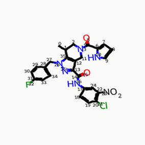 CC1CN(C(=O)c2ccc[nH]2)Cc2c(C(=O)Nc3ccc(Cl)c([N+](=O)[O-])c3)nn(Cc3ccc(F)cc3)c21